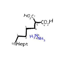 CCCCCCCCCCCC(C(=O)O)C(=O)O.N.N